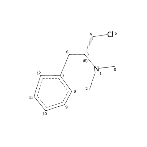 CN(C)[C@@H](CCl)Cc1ccccc1